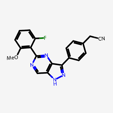 COc1cccc(F)c1-c1ncc2[nH]nc(-c3ccc(CC#N)cc3)c2n1